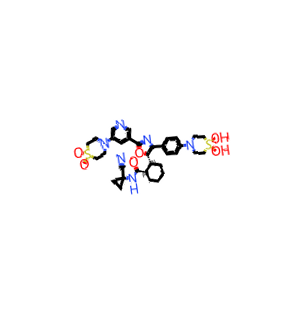 N#CC1(NC(=O)[C@@H]2CCCC[C@H]2c2oc(-c3cncc(N4CCS(=O)(=O)CC4)c3)nc2-c2ccc(N3CCS(O)(O)CC3)cc2)CC1